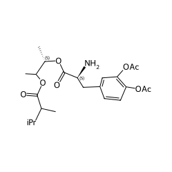 CC(=O)Oc1ccc(C[C@H](N)C(=O)O[C@@H](C)C(C)OC(=O)C(C)C(C)C)cc1OC(C)=O